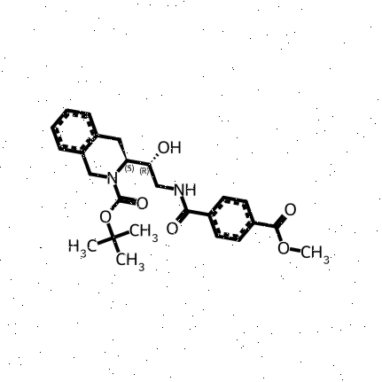 COC(=O)c1ccc(C(=O)NC[C@@H](O)[C@@H]2Cc3ccccc3CN2C(=O)OC(C)(C)C)cc1